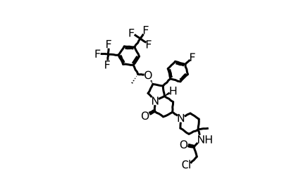 C[C@@H](O[C@H]1CN2C(=O)CC(N3CCC(C)(NC(=O)CCl)CC3)C[C@H]2C1c1ccc(F)cc1)c1cc(C(F)(F)F)cc(C(F)(F)F)c1